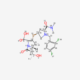 C[C@@H](O)[C@H]1C(=O)N2C(C(=O)O)=C(S[C@H]3C[C@@H](C(=O)N(C)C)N(Cc4ccc(F)cc4F)C3)[C@H](C)[C@H]12